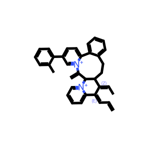 C=C/C=C1\C(=C/C)C2CCc3ccccc3-c3ccc(-c4ccccc4C)c[n+]3C(=C)C2[n+]2ccccc21